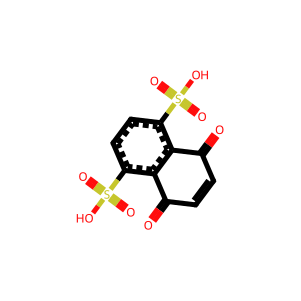 O=C1C=CC(=O)c2c(S(=O)(=O)O)ccc(S(=O)(=O)O)c21